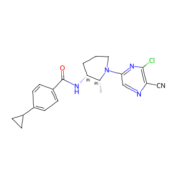 C[C@@H]1[C@H](NC(=O)c2ccc(C3CC3)cc2)CCCN1c1cnc(C#N)c(Cl)n1